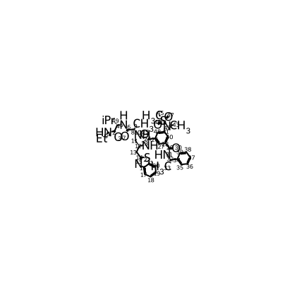 CCNC(=O)[C@@H](NC(=O)[C@H](C)NC[C@H](Cc1nc2ccccc2s1)NC(=O)c1cc(C(=O)N[C@H](C)c2ccccc2)cc(N(C)S(C)(=O)=O)c1)C(C)C